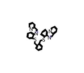 C(=N/c1ccccc1SCc1ccccc1CSc1ccccc1/N=C\c1ccccn1)/c1ccccn1